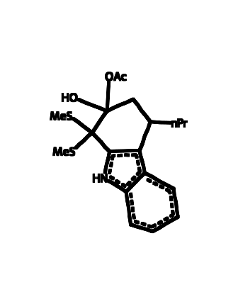 CCCC1CC(O)(OC(C)=O)C(SC)(SC)c2[nH]c3ccccc3c21